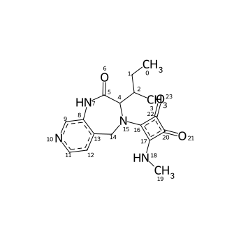 CCC(C)C1C(=O)Nc2cnccc2CN1c1c(NC)c(=O)c1=O